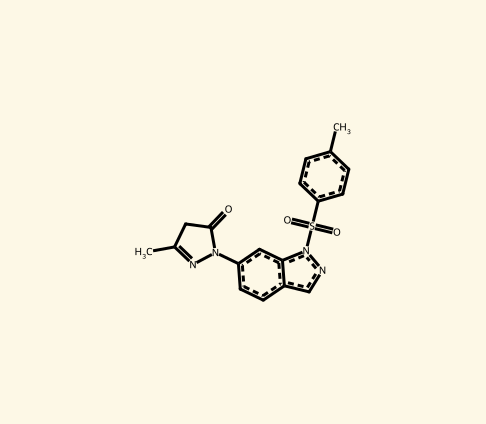 CC1=NN(c2ccc3cnn(S(=O)(=O)c4ccc(C)cc4)c3c2)C(=O)C1